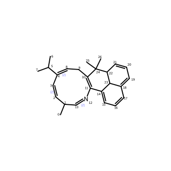 CC1/C=C\C(C(C)C)=C/CC2=C(/N=C\1)C1=CC=CC3=CC=CC(C31)C2(C)C